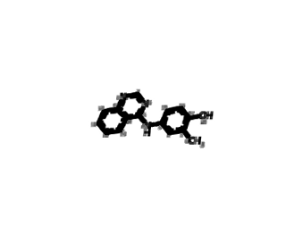 Cc1cc(Nc2ncnc3ccc[c]c23)ccc1O